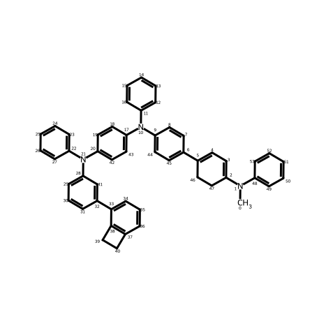 CN(C1=CC=C(c2ccc(N(c3ccccc3)c3ccc(N(c4ccccc4)c4cccc(-c5cccc6c5CC6)c4)cc3)cc2)CC1)c1ccccc1